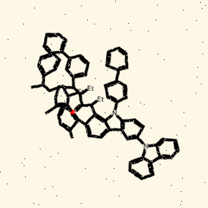 CCC(CCC(C)c1ccccc1)C1=C(/C)CCC(c2cccc(-c3ccccc3)c2)C(CC)/C(C(CC)c2c(-c3ccccc3C)ccc3c4cc(-n5c6ccccc6c6ccccc65)ccc4n(-c4ccc(-c5ccccc5)cc4)c23)=N\1